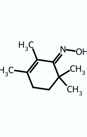 CC1=C(C)/C(=N/O)C(C)(C)CC1